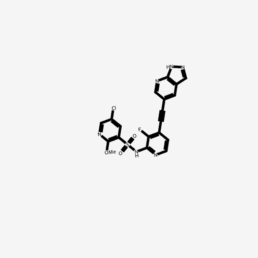 COc1ncc(Cl)cc1S(=O)(=O)Nc1nccc(C#Cc2cnc3[nH]ncc3c2)c1F